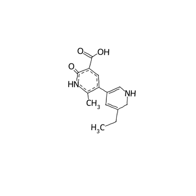 CCC1=CC(c2cc(C(=O)O)c(=O)[nH]c2C)=CNC1